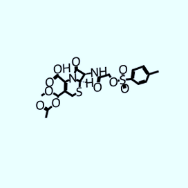 COC(OC(C)=O)C1=C(C(=O)O)N2C(=O)[C@@H](NC(=O)COS(=O)(=O)c3ccc(C)cc3)[C@H]2SC1